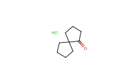 Cl.O=C1CCCC12CCCC2